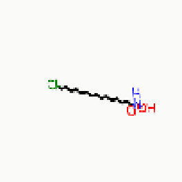 O=C(CCCCCCCCCCCCCCCl)NO